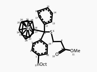 CCCCCCCCc1ccc(C(SCCC(=O)OC)(c2ccccc2)[C]23[CH]4[CH]5[CH]6[CH]2[Fe]56432789[CH]3[CH]2[CH]7[CH]8[CH]39)cc1